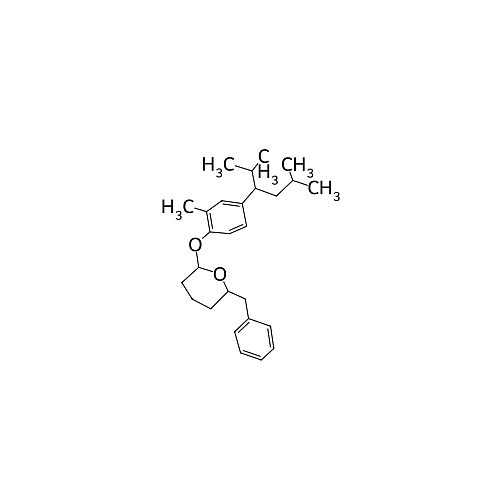 Cc1cc(C(CC(C)C)C(C)C)ccc1OC1CCCC(Cc2ccccc2)O1